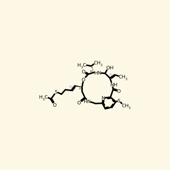 C/C=C1\NC(=O)c2nc(ccc2SC)CNC(=O)C[C@@H](/C=C/CCSC(C)=O)OC(=O)[C@H](C(C)C)NC1O